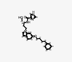 O=C(N[C@@H](CO)CCn1ccc2ccc(OCCCCc3ccccc3)cc21)c1c[nH]cn1